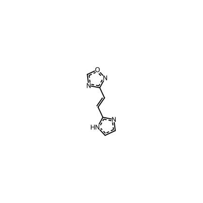 C(=C\c1ncc[nH]1)/c1ncon1